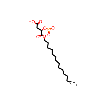 CCCCCCCCCCCCCCOC(=O)C(CC(=O)O)OP(=O)=O